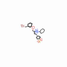 CS(=O)(=O)c1ccc(-c2cc(COc3cccc(CBr)c3)nn2C2CCCCC2)cc1